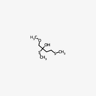 COCC(O)(CCSC)SC